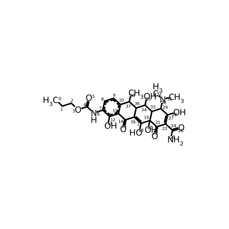 CCCOC(=O)Nc1ccc2c(c1O)C(=O)C1=C(O)C3(O)C(=O)C(C(N)=O)=C(O)C(N(C)C)C3C(O)C1C2C